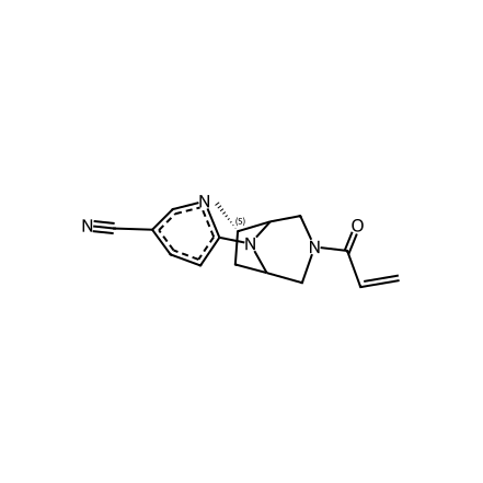 C=CC(=O)N1CC2C[C@H](C)C(C1)N2c1ccc(C#N)cn1